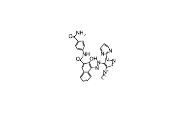 [C-]#[N+]c1cnn(-c2ncccn2)c1/N=N/c1c(O)c(C(=O)Nc2ccc(C(N)=O)cc2)cc2ccccc12